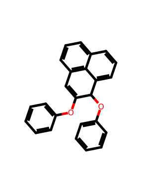 C1=C(Oc2ccccc2)C(Oc2ccccc2)c2cccc3cccc1c23